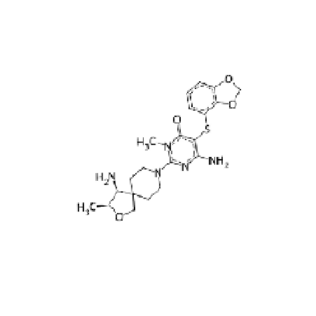 C[C@@H]1OCC2(CCN(c3nc(N)c(Sc4cccc5c4OCO5)c(=O)n3C)CC2)[C@@H]1N